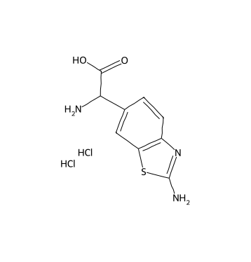 Cl.Cl.Nc1nc2ccc(C(N)C(=O)O)cc2s1